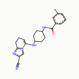 Cc1cccc(C(=O)NC2CCC(NC3=CCCc4nc(C#N)cn43)CC2)c1